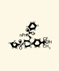 CCCN(C[C@@H]1CN(S(=O)(=O)c2cccs2)CCN1c1ccc(C(C)(O)C(F)(F)F)cc1)S(=O)(=O)c1ccccc1